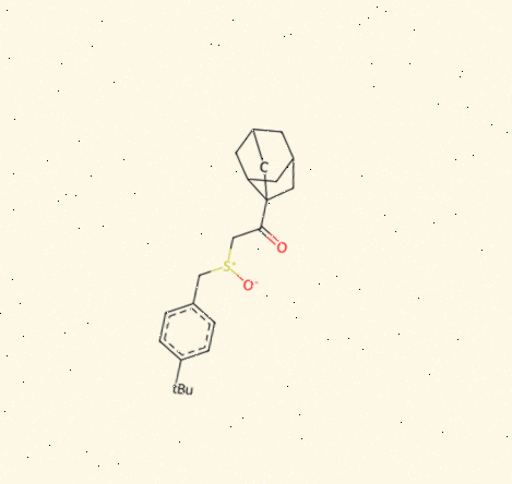 CC(C)(C)c1ccc(C[S+]([O-])CC(=O)C23CC4CC(CC2C4)C3)cc1